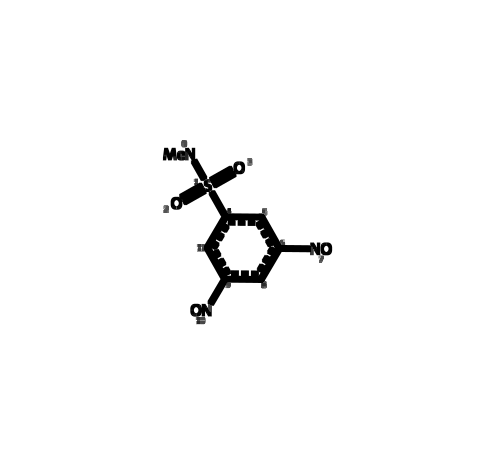 CNS(=O)(=O)c1cc(N=O)cc(N=O)c1